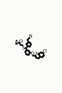 CN(C)C(=O)CCSC(c1cccc(CC#N)c1)c1cccc(OCc2ccc3ccc(Cl)cc3n2)c1